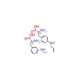 C=CCNc1ccc(C[C@H](N)C(=O)O)cc1.CCNc1cccc(C[C@H](N)C(=O)O)c1